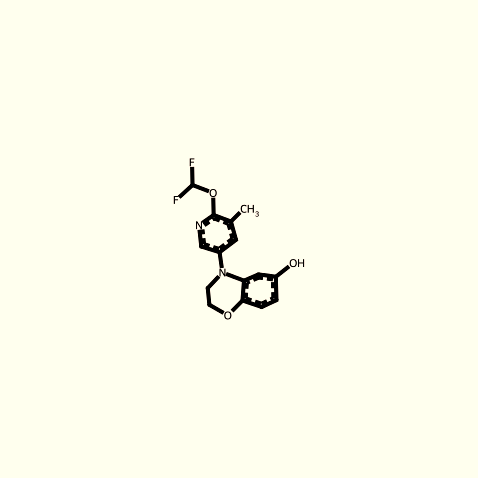 Cc1cc(N2CCOc3ccc(O)cc32)cnc1OC(F)F